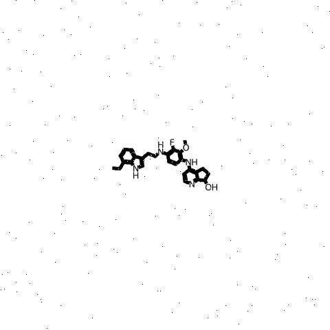 CCc1cccc2c(CCNc3ccc(Nc4ccnc5c4CCC5O)c(OC)c3F)c[nH]c12